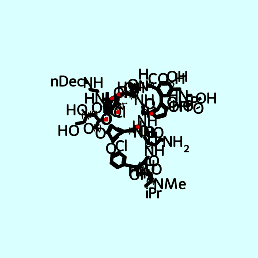 CCCCCCCCCCNCCNC1(C)C[C@@H](OC2[C@H](Oc3c4cc5cc3Oc3ccc(cc3Cl)[C@H](O)[C@@H](NC(=O)[C@@H](CC(C)C)NC)C(=O)N[C@@H](CC(N)=O)C(=O)N[C@H]5C(=O)N[C@H]3C(=O)N[C@H](C(=O)N[C@H](C(=O)O)c5cc(O)c(CNCP(=O)(O)O)c(O)c5-c5cc3ccc5O)[C@H](O)c3ccc(c(Cl)c3)O4)OC(CO)[C@@H](O)[C@@H]2O)O[C@@H](C)[C@H]1O